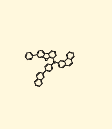 c1ccc(-c2ccc3c(c2)oc2c(N(c4ccc(-c5ccc6ccccc6c5)cc4)c4ccc5ccc6ccccc6c5c4)cccc23)cc1